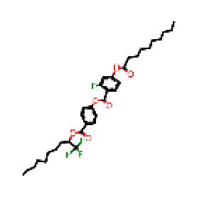 CCCCCCCCCC(=O)Oc1ccc(C(=O)Oc2ccc(C(=O)OC(CCCCCCCC)C(F)(F)F)cc2)c(F)c1